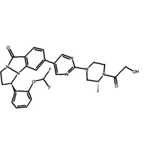 C[C@@H]1CN(c2ncc(-c3ccc4c(=O)n5n(c4c3)[C@@H](c3ccccc3OC(F)F)CC5)cn2)CCN1C(=O)CO